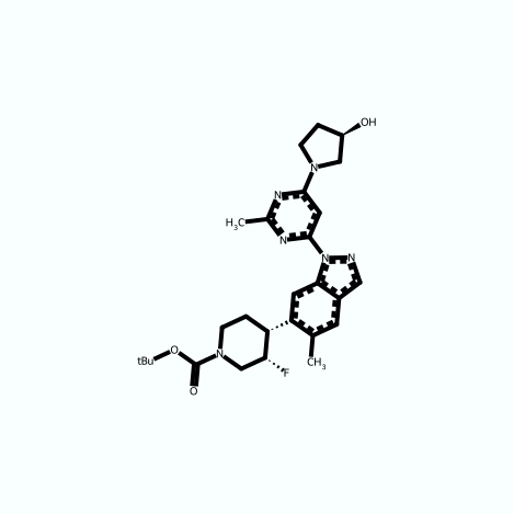 Cc1nc(N2CC[C@@H](O)C2)cc(-n2ncc3cc(C)c([C@H]4CCN(C(=O)OC(C)(C)C)C[C@H]4F)cc32)n1